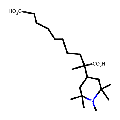 CN1C(C)(C)CC(C(C)(CCCCCCCC(=O)O)C(=O)O)CC1(C)C